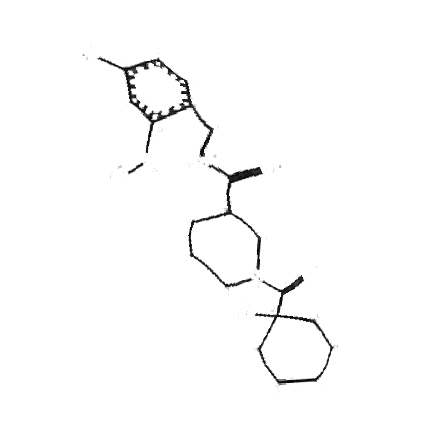 N#Cc1ccc(CNC(=O)C2CCCN(C(=O)C3(O)CCCCC3)C2)c(OC(F)(F)F)c1